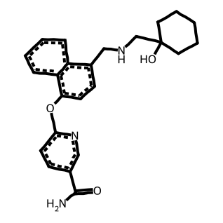 NC(=O)c1ccc(Oc2ccc(CNCC3(O)CCCCC3)c3ccccc23)nc1